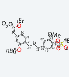 CCCCOc1cc(C=C(OCC)C(=O)O)ccc1CCCc1ccc(OS(=O)(=O)CCCC)c(OC)c1